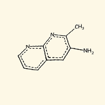 Cc1nc2ncccc2cc1N